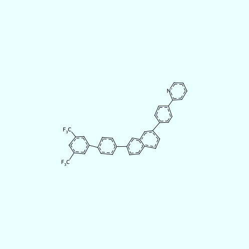 FC(F)(F)c1cc(-c2ccc(-c3ccc4ccc(-c5ccc(-c6ccccn6)cc5)cc4c3)cc2)cc(C(F)(F)F)c1